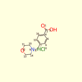 Cl.O=C(O)c1ccc(CN2CCOCC2)cc1